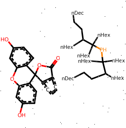 CCCCCCCCCCCCC(CCCCCC)C(CCCCCC)(CCCCCC)PC(CCCCCC)(CCCCCC)C(CCCCCC)CCCCCCCCCCCC.O=C1OC2(c3ccc(O)cc3Oc3cc(O)ccc32)c2ccccc21